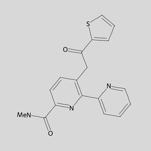 CNC(=O)c1ccc(CC(=O)c2cccs2)c(-c2ccccn2)n1